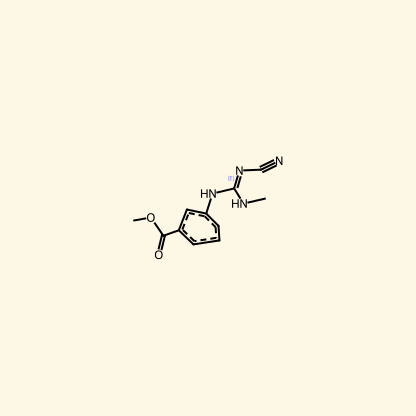 CN/C(=N\C#N)Nc1cccc(C(=O)OC)c1